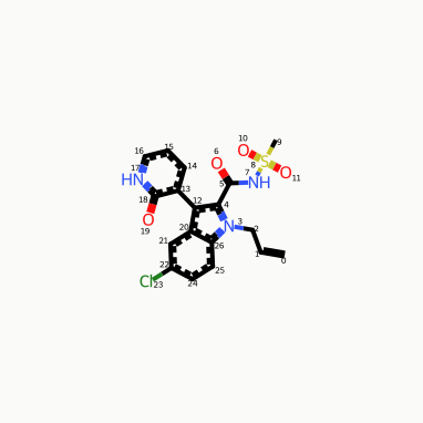 C=CCn1c(C(=O)NS(C)(=O)=O)c(-c2ccc[nH]c2=O)c2cc(Cl)ccc21